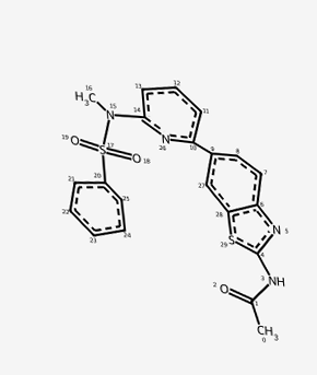 CC(=O)Nc1nc2ccc(-c3cccc(N(C)S(=O)(=O)c4ccccc4)n3)cc2s1